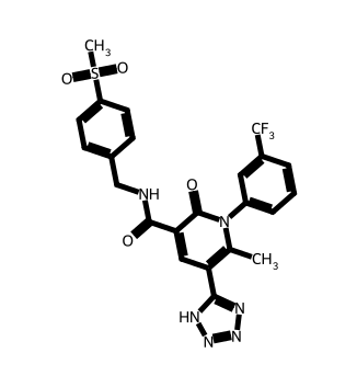 Cc1c(-c2nnn[nH]2)cc(C(=O)NCc2ccc(S(C)(=O)=O)cc2)c(=O)n1-c1cccc(C(F)(F)F)c1